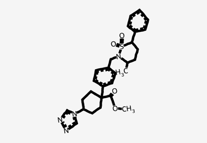 COC(=O)C1(c2ccc(CN3C(C)CCC(c4ccccc4)S3(=O)=O)cc2)CCC(n2cnnc2)CC1